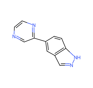 c1cnc(-c2ccc3[nH]ncc3c2)cn1